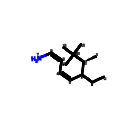 CCC(/C=C\C=C/N)[C@@H](C)C(C)(C)C